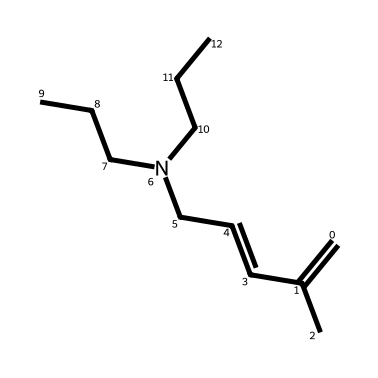 C=C(C)/C=C/CN(CCC)CCC